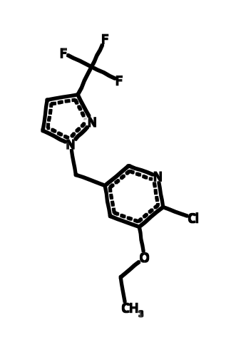 CCOc1cc(Cn2ccc(C(F)(F)F)n2)cnc1Cl